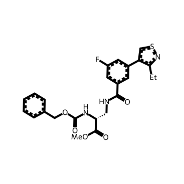 CCc1nscc1-c1cc(F)cc(C(=O)NC[C@@H](NC(=O)OCc2ccccc2)C(=O)OC)c1